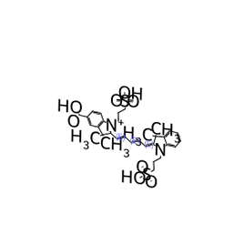 CC1(C)C(/C=C/C=C/C=C2/N(CCCS(=O)(=O)O)c3ccccc3C2(C)C)=[N+](CCCS(=O)(=O)O)c2ccc(C(=O)O)cc21